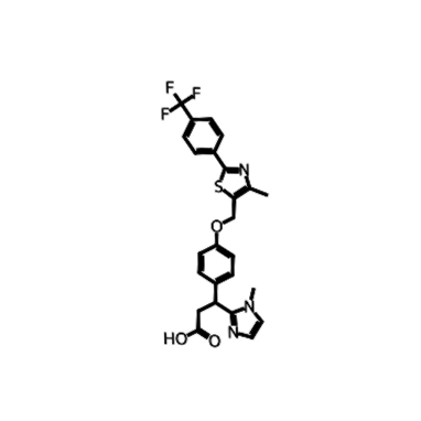 Cc1nc(-c2ccc(C(F)(F)F)cc2)sc1COc1ccc(C(CC(=O)O)c2nccn2C)cc1